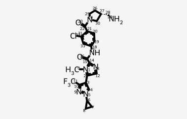 Cn1c(-c2cn(C3CC3)nc2C(F)(F)F)cnc1C(=O)Nc1ccc(C(=O)N2CC[C@H](CN)C2)c(Cl)c1